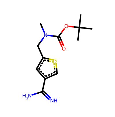 CN(Cc1cc(C(=N)N)cs1)C(=O)OC(C)(C)C